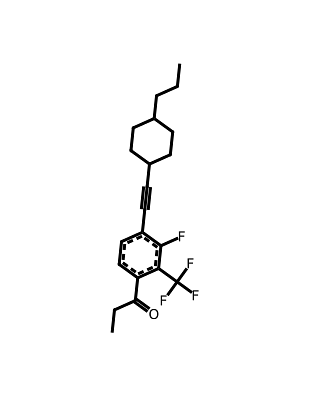 CCCC1CCC(C#Cc2ccc(C(=O)CC)c(C(F)(F)F)c2F)CC1